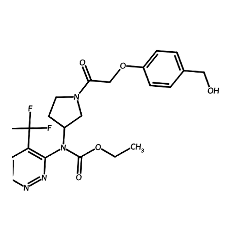 CCOC(=O)N(c1nnccc1C(F)(F)F)C1CCN(C(=O)COc2ccc(CO)cc2)C1